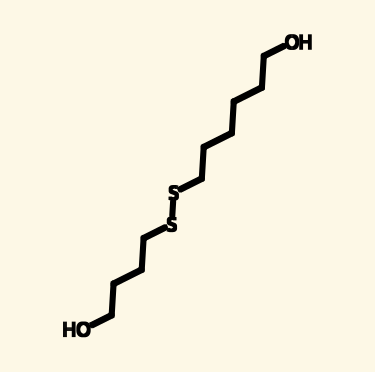 OCCCCCCSSCCCCO